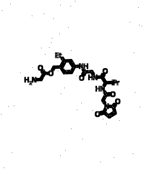 CCc1cc(NC(=O)CNC(=O)C(NC(=O)CN2C(=O)C=CC2=O)C(C)C)ccc1COC(=O)CN